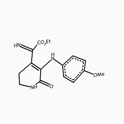 CCOC(=O)C(=N)C1=C(Nc2ccc(OC)cc2)C(=O)NCC1